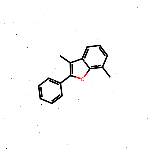 Cc1c(-c2ccccc2)oc2c(C)cccc12